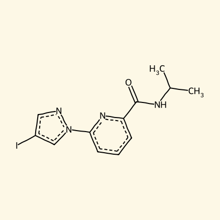 CC(C)NC(=O)c1cccc(-n2cc(I)cn2)n1